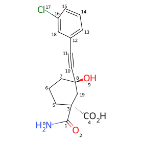 NC(=O)[C@@]1(C(=O)O)CCC[C@](O)(C#Cc2cccc(Cl)c2)C1